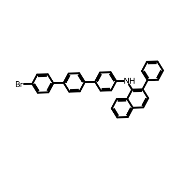 Brc1ccc(-c2ccc(-c3ccc(Nc4c(-c5ccccc5)ccc5ccccc45)cc3)cc2)cc1